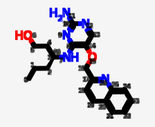 CCC[C@@H](CCO)Nc1nc(N)ncc1OCc1ccc2ccccc2n1